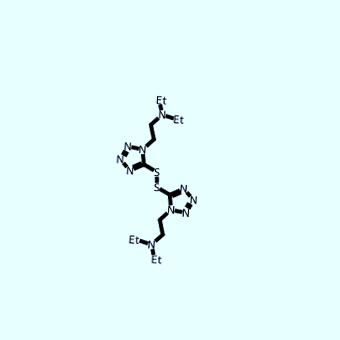 CCN(CC)CCn1nnnc1SSc1nnnn1CCN(CC)CC